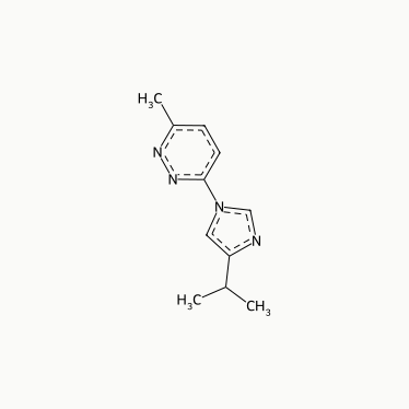 Cc1ccc(-n2cnc(C(C)C)c2)nn1